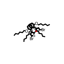 CCCCCCOc1cccc(OCCCCCC)c1-c1cc(Br)sc1-c1sc(Br)cc1-c1c(OCCCCCC)cccc1OCCCCCC